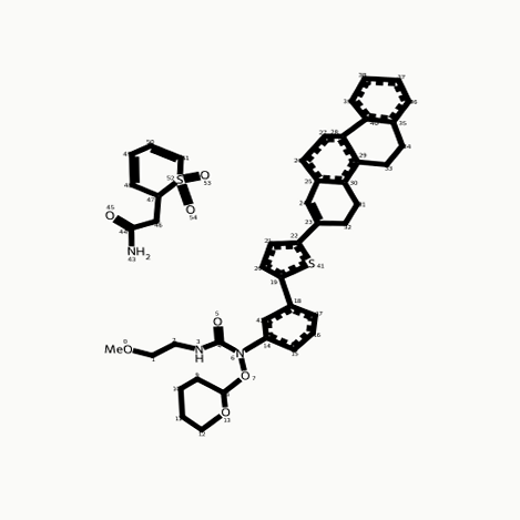 COCCNC(=O)N(OC1CCCCO1)c1cccc(-c2ccc(C3=Cc4ccc5c(c4CC3)CCc3ccccc3-5)s2)c1.NC(=O)CC1C=CC=CS1(=O)=O